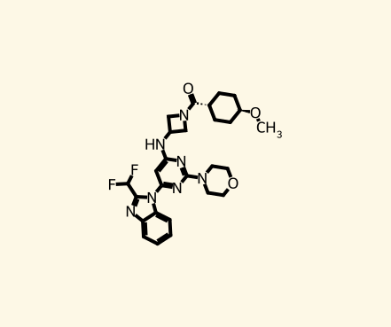 CO[C@H]1CC[C@H](C(=O)N2CC(Nc3cc(-n4c(C(F)F)nc5ccccc54)nc(N4CCOCC4)n3)C2)CC1